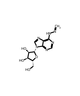 C=NNc1ncnc2c1ncn2[C@@H]1O[C@H](CO)[C@@H](O)[C@H]1O